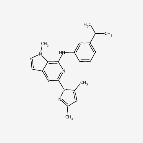 Cc1cc(C)n(-c2nc(Nc3cccc(C(C)C)c3)c3c(ccn3C)n2)n1